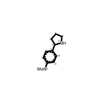 CNc1ccc(C2CCCN2)cc1